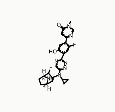 Cn1cnc(-c2cc(O)c(-c3ncc(N(C4CC4)C4C[C@H]5CC[C@H](N5)C4F)nn3)cc2F)cc1=O